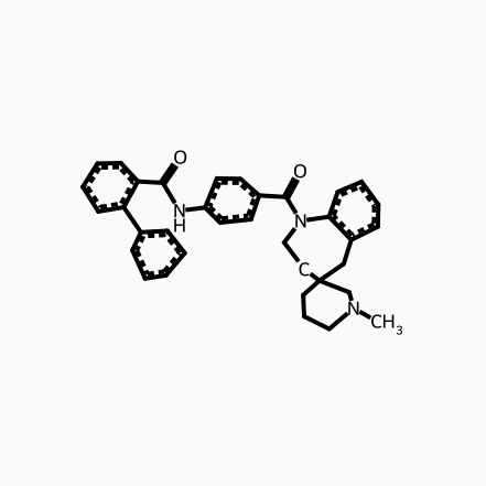 CN1CCCC2(CCN(C(=O)c3ccc(NC(=O)c4ccccc4-c4ccccc4)cc3)c3ccccc3C2)C1